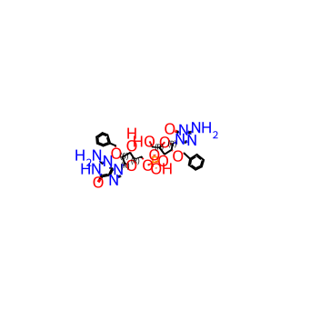 Nc1ncn([C@@H]2O[C@H](CO)C(OP(=O)(O)OC[C@H]3O[C@@H](n4cnc5c(=O)[nH]c(N)nc54)[C@@H](OCc4ccccc4)C3O)C2OCc2ccccc2)c(=O)n1